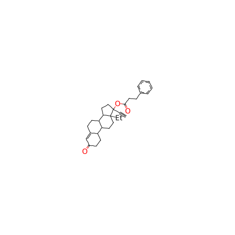 C#CC1(OC(=O)CCc2ccccc2)CCC2C3CCC4=CC(=O)CCC4C3CCC21CC